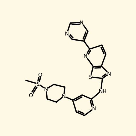 CS(=O)(=O)N1CCN(c2ccnc(Nc3nc4ccc(-c5cncnc5)nc4s3)c2)CC1